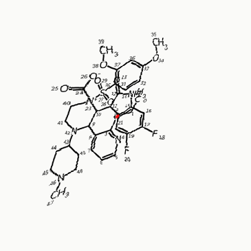 CCOc1ncccc1C1C(C2C(=O)Nc3cc(F)c(F)cc32)[N+](C(=O)[O-])(S(=O)(=O)c2ccc(OC)cc2OC)CCN1C1CCN(C)CC1